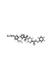 CC(=O)Nc1nc(C)c(-c2cnn(S(=O)(=O)C3CCN(C(=O)OCc4ccccc4)CC3)c2)s1